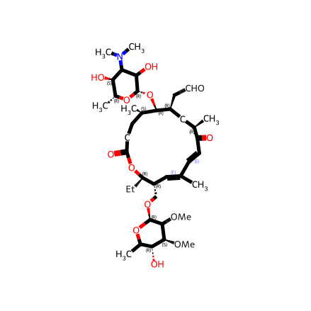 CC[C@H]1OC(=O)CC[C@H](C)[C@@H](O[C@@H]2O[C@H](C)[C@@H](O)C(N(C)C)C2O)[C@@H](CC=O)C[C@@H](C)C(=O)/C=C/C(C)=C/[C@@H]1CO[C@@H]1OC(C)[C@@H](O)[C@H](OC)C1OC